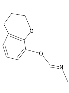 C/N=C/Oc1cccc2c1OCCC2